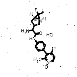 Cc1c(-c2ccc(NC(=O)C(N)C3C[C@@H]4[C@H](C3)C4(F)F)cc2)c(Cl)cc[n+]1[O-].Cl